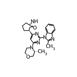 Cc1nc2ccccc2n1-c1nc([C@H]2CCCS2(=N)=O)cc(N2CCOC[C@H]2C)n1